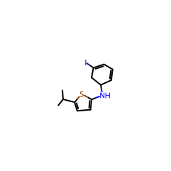 CC(C)c1ccc(NC2C=CC=C(I)C2)s1